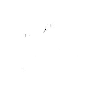 C[C@H](O)C(c1ccsc1)c1ccsc1